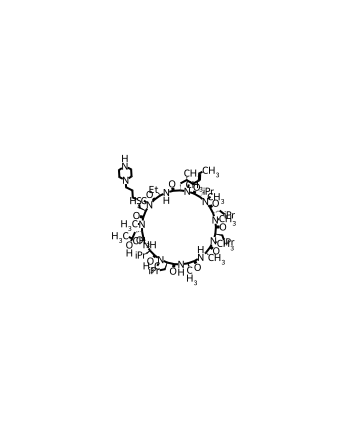 C/C=C/C[C@@H](C)C[C@H]1C(=O)N[C@@H](CC)C(=O)N(C)[C@H](CSCCCN2CCNCC2)C(=O)N(C)[C@@H](CC(C)(C)O)C(=O)N[C@H](C(C)C)C(=O)N(C)[C@H](CC(C)C)C(=O)N[C@H](C)C(=O)N[C@@H](C)C(=O)N(C)[C@H](CC(C)C)C(=O)N(C)[C@@H](CC(C)C)C(=O)N(C)[C@@H](C(C)C)C(=O)N1C